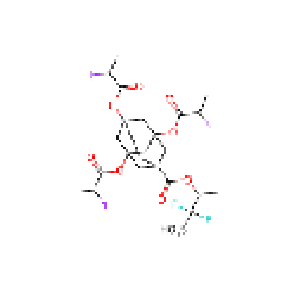 CC(I)C(=O)OC12CC3(OC(=O)C(C)I)CC(OC(=O)C(C)I)(C1)CC(C(=O)OC(C)C(F)(F)S(=O)(=O)O)(C2)C3